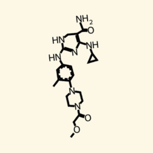 COCC(=O)N1CCN(c2ccc(NC3=NC(NC4CC4)=C(C(N)=O)CN3)cc2C)CC1